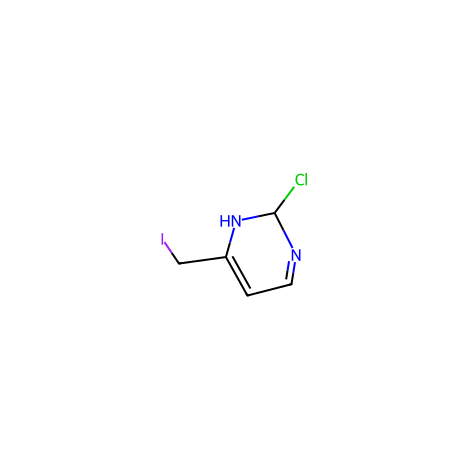 ClC1N=CC=C(CI)N1